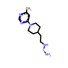 Cc1cc(N2CCC(CCNSN)CC2)ncn1